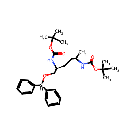 CC(CC[C@@H](CO[SiH](c1ccccc1)c1ccccc1)NC(=O)OC(C)(C)C)NC(=O)OC(C)(C)C